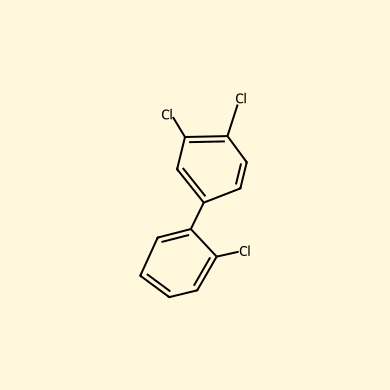 Clc1ccc(-c2ccccc2Cl)cc1Cl